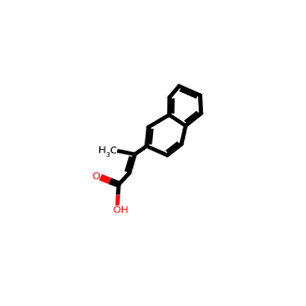 CC(=CC(=O)O)c1ccc2ccccc2c1